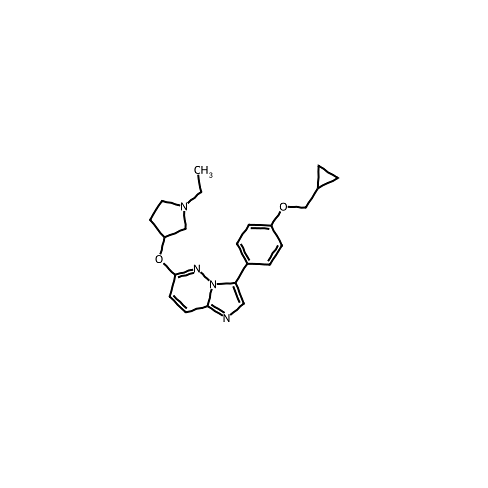 CCN1CCC(Oc2ccc3ncc(-c4ccc(OCC5CC5)cc4)n3n2)C1